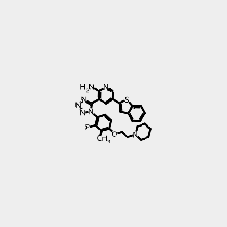 Cc1c(OCCN2CCCCC2)ccc(-n2nnnc2-c2cc(-c3cc4ccccc4s3)cnc2N)c1F